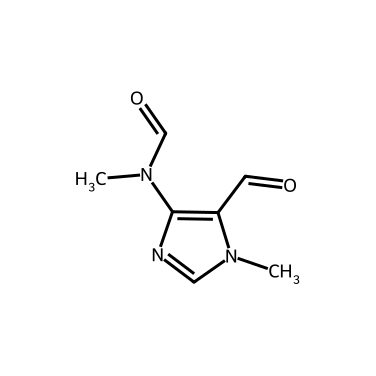 CN(C=O)c1ncn(C)c1C=O